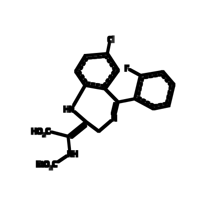 CCOC(=O)NC(C(=O)O)=C1CN=C(c2ccccc2F)c2cc(Cl)ccc2N1